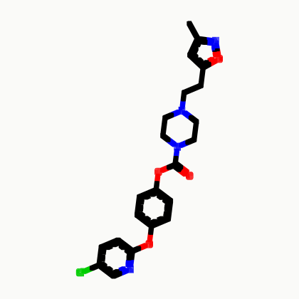 Cc1cc(CCN2CCN(C(=O)Oc3ccc(Oc4ccc(Cl)cn4)cc3)CC2)on1